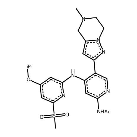 CC(=O)Nc1cc(Nc2cc(OC(C)C)cc(S(C)(=O)=O)n2)c(-c2cc3n(n2)CCN(C)C3)cn1